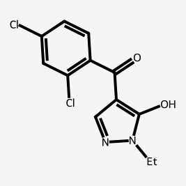 CCn1ncc(C(=O)c2ccc(Cl)cc2Cl)c1O